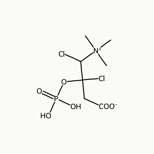 C[N+](C)(C)C(Cl)C(Cl)(CC(=O)[O-])OP(=O)(O)O